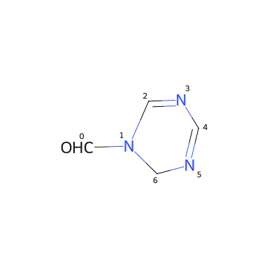 O=CN1C=NC=NC1